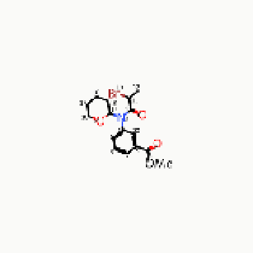 COC(=O)c1cccc(N(C(=O)C(C)Br)C2CCCCO2)c1